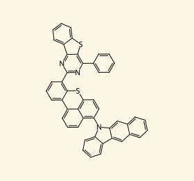 c1ccc(-c2nc(-c3cccc4c3Sc3ccc(-n5c6ccccc6c6cc7ccccc7cc65)c5cccc-4c35)nc3c2sc2ccccc23)cc1